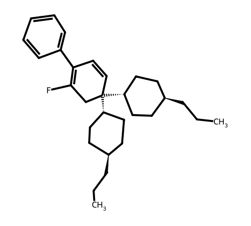 CCC[C@H]1CC[C@H](C2([C@H]3CC[C@H](CCC)CC3)C=CC(c3ccccc3)=C(F)C2)CC1